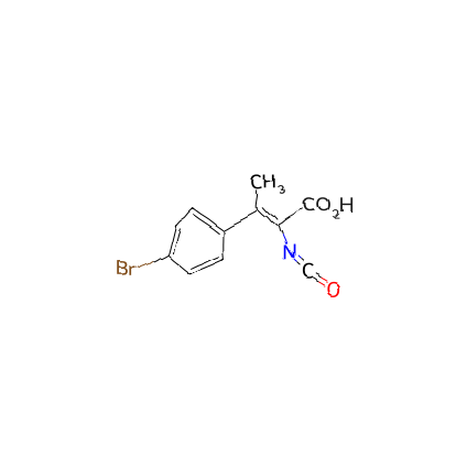 C/C(=C(/N=C=O)C(=O)O)c1ccc(Br)cc1